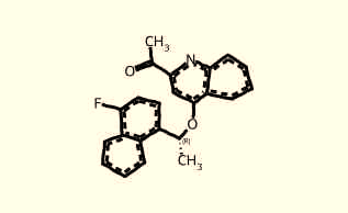 CC(=O)c1cc(O[C@H](C)c2ccc(F)c3ccccc23)c2ccccc2n1